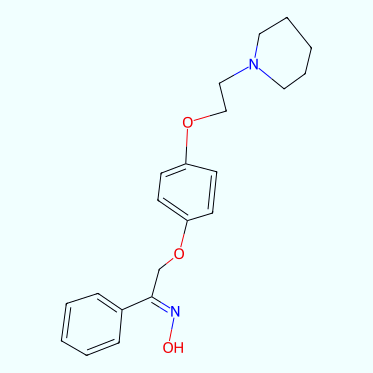 ON=C(COc1ccc(OCCN2CCCCC2)cc1)c1ccccc1